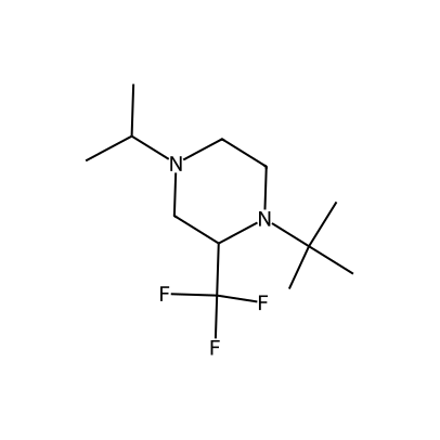 CC(C)N1CCN(C(C)(C)C)C(C(F)(F)F)C1